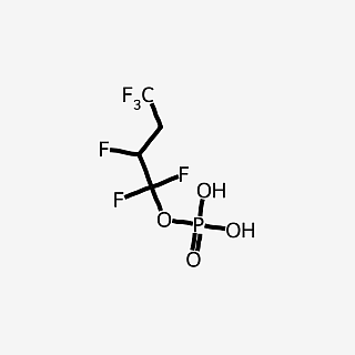 O=P(O)(O)OC(F)(F)C(F)CC(F)(F)F